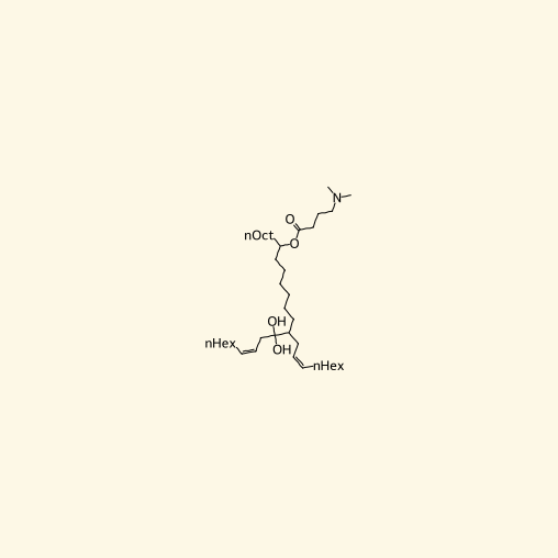 CCCCCC/C=C\CC(CCCCCCC(CCCCCCCC)OC(=O)CCCN(C)C)C(O)(O)C/C=C\CCCCCC